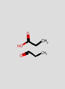 CCC(=O)O.CCC=O